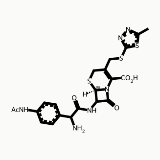 CC(=O)Nc1ccc(C(N)C(=O)NC2C(=O)N3C(C(=O)O)=C(CSc4nnc(C)s4)CS[C@H]23)cc1